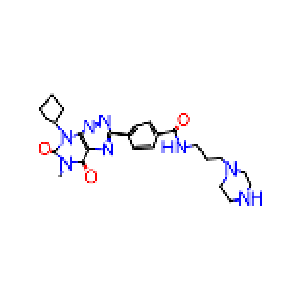 Cn1c(=O)c2nc(-c3ccc(C(=O)NCCCN4CCNCC4)cc3)nnc2n(C2CCCC2)c1=O